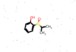 CC(C)[S+]([O-])c1ccccc1O